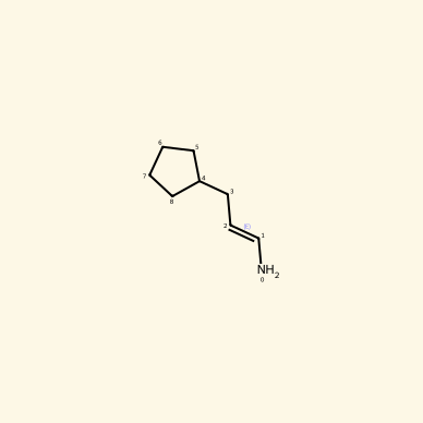 N/C=C/CC1CCCC1